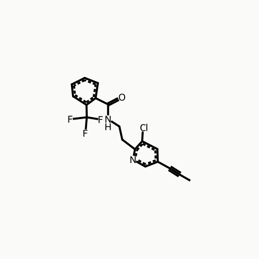 CC#Cc1cnc(CCNC(=O)c2ccccc2C(F)(F)F)c(Cl)c1